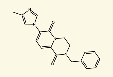 Cc1cn(-c2ccc3n(c2=O)CCN(Cc2ccccc2)C3=O)cn1